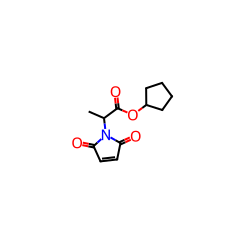 CC(C(=O)OC1CCCC1)N1C(=O)C=CC1=O